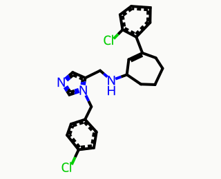 Clc1ccc(Cn2cncc2CNC2C=C(c3ccccc3Cl)CCCC2)cc1